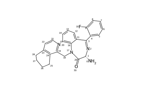 N[C@H]1N=C(c2ccccc2F)c2ccccc2N(Cc2nccc3c2CCCC3)C1=O